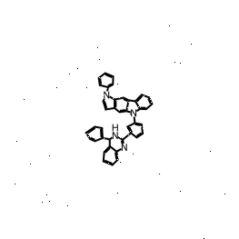 c1ccc(C2NC(c3cccc(-n4c5ccccc5c5cc6c(ccn6-c6ccccc6)cc54)c3)=Nc3ccccc32)cc1